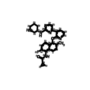 Cc1ccc2c(NC(=O)C3CC3)c(F)ccc2c1Oc1ncccc1-c1ccnc(N[C@H]2CCCNC2)n1